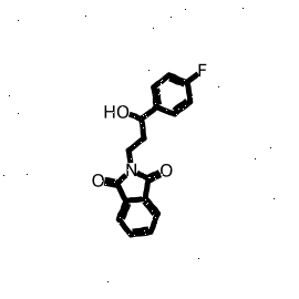 O=C1c2ccccc2C(=O)N1CCC(O)c1ccc(F)cc1